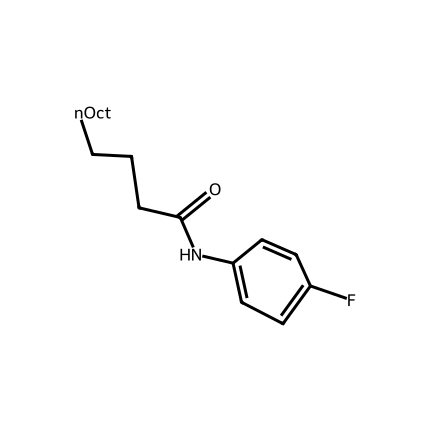 CCCCCCCCCCCC(=O)Nc1ccc(F)cc1